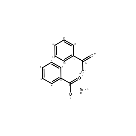 O=C([O-])c1ccccc1.O=C([O-])c1ccccc1.[Sn+2]